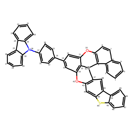 c1ccc2c3c(ccc2c1)Oc1cc(-c2ccc(-n4c5ccccc5c5ccccc54)cc2)cc2c1B3c1cc3c(cc1O2)sc1ccccc13